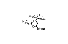 C=CC(=O)OC(CCCCC)CC[Si](C)(OC)OC